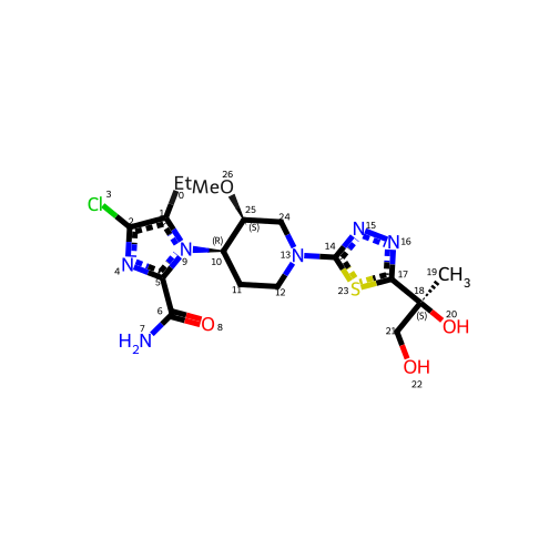 CCc1c(Cl)nc(C(N)=O)n1[C@@H]1CCN(c2nnc([C@@](C)(O)CO)s2)C[C@@H]1OC